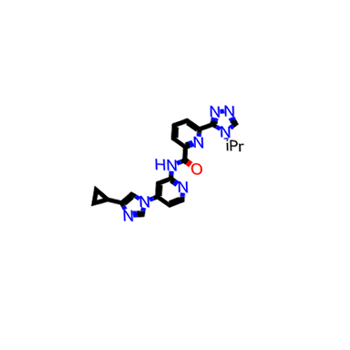 CC(C)n1cnnc1-c1cccc(C(=O)Nc2cc(-n3cnc(C4CC4)c3)ccn2)n1